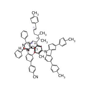 C=C(/C=C\[C@H](c1ccc(C)cc1)[C@@H](C)C(C)C/C=C/c1ccc(C)cc1)N(C)c1ccc(-c2ccc(C#N)cc2)cc1-c1cc(-n2c3ccc(-c4ccc(C)cc4)cc3c3cc(-c4ccc(C)cc4)ccc32)ccc1-c1nc(-c2ccccc2)nc(-c2ccccc2)n1